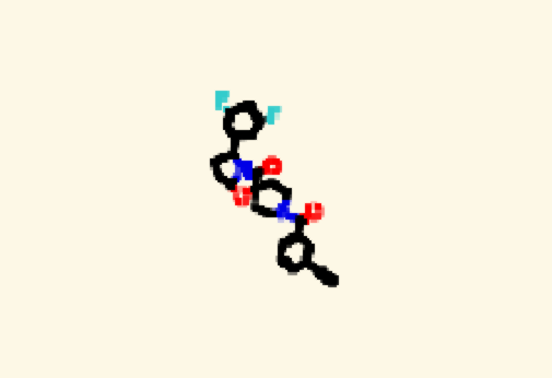 C#Cc1cccc(C(=O)N2CCC3(CC2)OC2CCC(c4cc(F)cc(F)c4)N2C3=O)c1